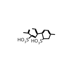 C=C(C)/C(=C\C(=C/C)C1=CC=C(C)CC1S(=O)(=O)O)S(=O)(=O)O